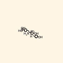 N[C@@H](Cc1ccc(B(O)O)cc1)C(=O)N[C@@H](Cc1ccc(O)cc1)C(=O)O